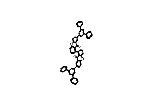 O=c1c2cc(-c3cc(-c4ccccc4)cc(-c4ccccc4)c3)ccc2oc2cccc(-c3cccc4oc5ccc(-c6cc(-c7ccccc7)cc(-c7ccccc7)c6)cc5c(=O)c34)c12